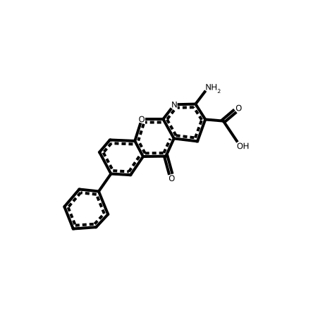 Nc1nc2oc3ccc(-c4ccccc4)cc3c(=O)c2cc1C(=O)O